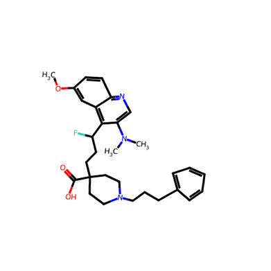 COc1ccc2ncc(N(C)C)c(C(F)CCC3(C(=O)O)CCN(CCCc4ccccc4)CC3)c2c1